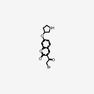 O=C(CBr)c1cc2ccc(OC3CCNC3)cc2oc1=O